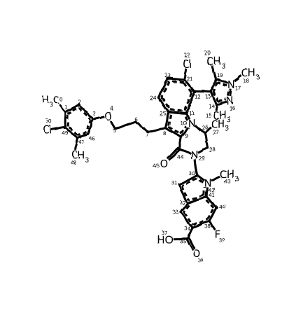 Cc1cc(OCCCc2c3n(c4c(-c5c(C)nn(C)c5C)c(Cl)ccc24)C(C)CN(c2cc4cc(C(=O)O)c(F)cc4n2C)C3=O)cc(C)c1Cl